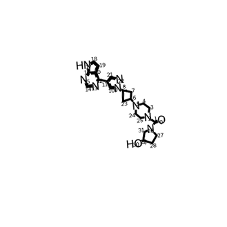 O=C(N1CCN(C2C[C](n3cc(-c4ncnc5[nH]ccc45)cn3)C2)CC1)N1CC[C@H](O)C1